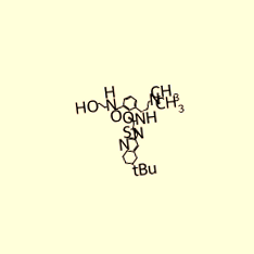 CN(C)CC[C@@H](NC(=O)c1nc2cc3c(nc2s1)CC[C@H](C(C)(C)C)C3)c1cccc(C(=O)NCCO)c1